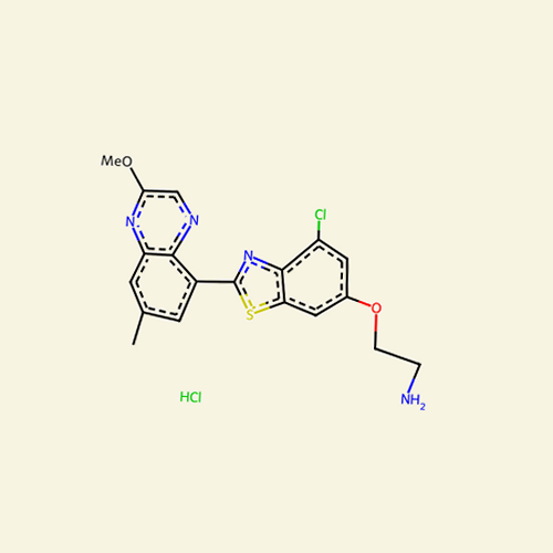 COc1cnc2c(-c3nc4c(Cl)cc(OCCN)cc4s3)cc(C)cc2n1.Cl